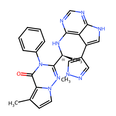 Cc1ccn2nc([C@H](C)Nc3ncnc4[nH]cc(-c5cnn(C)c5)c34)n(-c3ccccc3)c(=O)c12